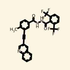 Cc1ccc(C(=O)NNC(=O)c2c(C(F)(F)F)cccc2C(F)(F)F)cc1C#Cc1cnc2ccccc2c1